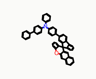 c1ccc(-c2ccc(N(c3ccccc3)c3ccc(-c4ccc5c(c4)C4(c6ccccc6Oc6cc7ccccc7cc64)c4ccccc4-5)cc3)cc2)cc1